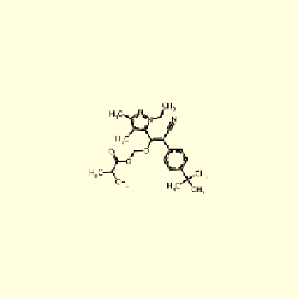 CCn1nc(C)c(C)c1/C(OCOC(=O)C(C)C)=C(\C#N)c1ccc(C(C)(C)C)cc1